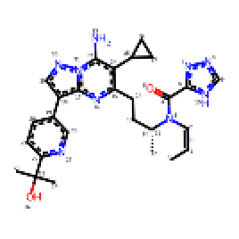 C/C=C\N(C(=O)c1nnc[nH]1)[C@H](C)CCc1nc2c(-c3ccc(C(C)(C)O)nc3)cnn2c(N)c1C1CC1